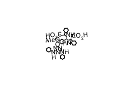 COc1cc(C(c2[nH]c3ccccc3c2CC(=O)O)c2[nH]c3ccccc3c2CC(=O)O)ccc1Oc1nc(Nc2ccccc2)nc(Nc2ccccc2)n1